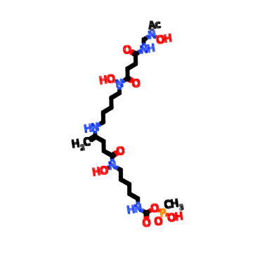 C=C(CCC(=O)N(O)CCCCCNC(=O)OP(C)(=O)O)NCCCCCN(O)C(=O)CCC(=O)NCN(O)C(C)=O